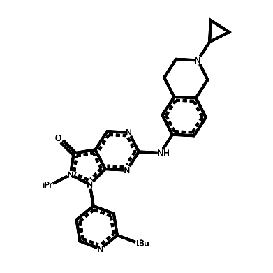 CC(C)n1c(=O)c2cnc(Nc3ccc4c(c3)CCN(C3CC3)C4)nc2n1-c1ccnc(C(C)(C)C)c1